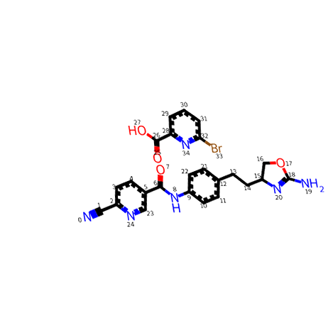 N#Cc1ccc(C(=O)Nc2ccc(CCC3COC(N)=N3)cc2)cn1.O=C(O)c1cccc(Br)n1